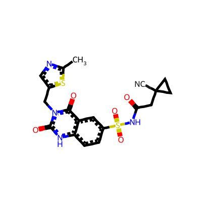 Cc1ncc(Cn2c(=O)[nH]c3ccc(S(=O)(=O)NC(=O)CC4(C#N)CC4)cc3c2=O)s1